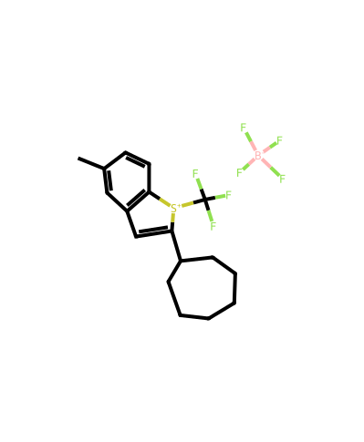 Cc1ccc2c(c1)cc(C1CCCCCC1)[s+]2C(F)(F)F.F[B-](F)(F)F